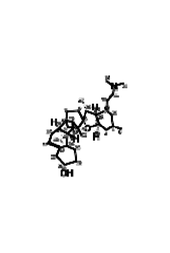 C[C@H]1C[C@H]2O[C@]3(CCC45CC3(C)C4C[C@H]3[C@H]5CC=C4C[C@@H](O)CC[C@@]43C)[C@H](C)[C@@H]2N(CCN(C)C)C1